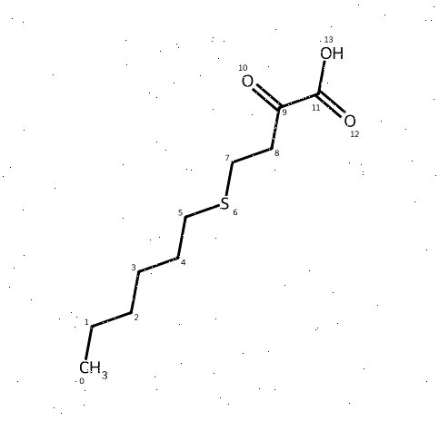 CCCCCCSCCC(=O)C(=O)O